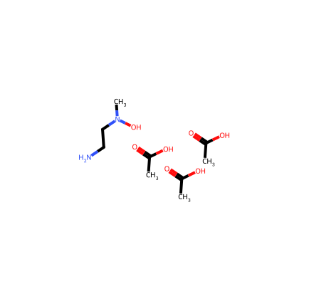 CC(=O)O.CC(=O)O.CC(=O)O.CN(O)CCN